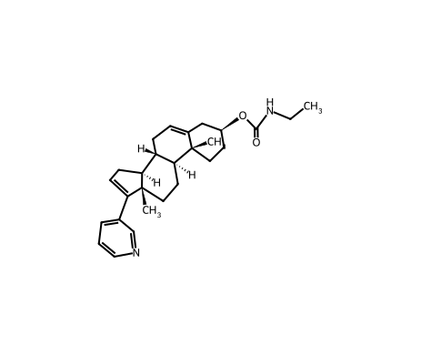 CCNC(=O)O[C@H]1CC[C@@]2(C)C(=CC[C@@H]3[C@@H]2CC[C@]2(C)C(c4cccnc4)=CC[C@@H]32)C1